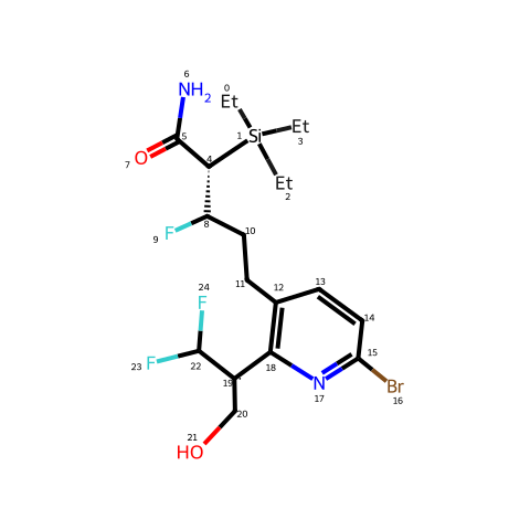 CC[Si](CC)(CC)[C@@H](C(N)=O)C(F)CCc1ccc(Br)nc1[C](CO)C(F)F